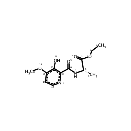 CCOC(=O)[C@H](C)NC(=O)c1nccc(OC)c1O